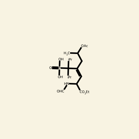 CCOC(=O)C(C=C(CC(C)OC(C)=O)C(C(C)C)(C(C)C)P(=O)(O)O)NC=O